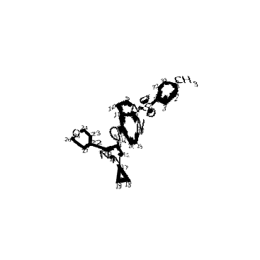 Cc1ccc(S(=O)(=O)n2ccc3c(Oc4cn(C5CC5)nc4C4CCOCC4)ccnc32)cc1